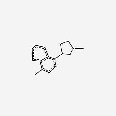 Cc1ccc(C2CCN(C)C2)c2ccccc12